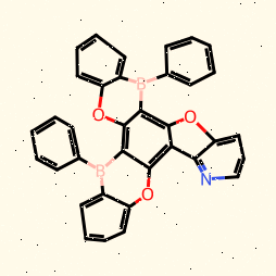 c1ccc(B2c3ccccc3Oc3c2c2c(c4oc5cccnc5c34)B(c3ccccc3)c3ccccc3O2)cc1